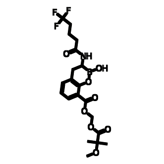 COC(C)(C)C(=O)OCOC(=O)c1cccc2c1OB(O)C(NC(=O)CCCC(F)(F)F)C2